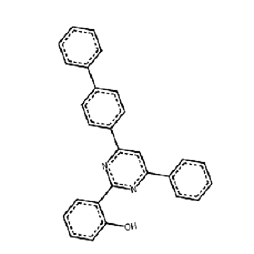 Oc1ccccc1-c1nc(-c2ccccc2)cc(-c2ccc(-c3ccccc3)cc2)n1